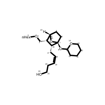 CCCCCCOC[C@@H]1[C@@H]2CC[C@@](OC3CCCCO3)(O2)[C@@H]1C/C=C\CCO